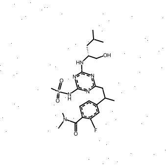 CC(C)C[C@H](CO)Nc1nc(CC(C)c2ccc(C(=O)N(C)C)c(F)c2)nc(NS(C)(=O)=O)n1